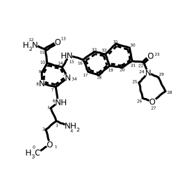 COCC(N)CNc1ncc(C(N)=O)c(Nc2ccc3cc(C(=O)N4CCOCC4)ccc3c2)n1